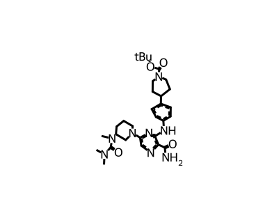 CN(C)C(=O)N(C)C1CCCN(c2cnc(C(N)=O)c(Nc3ccc(C4CCN(C(=O)OC(C)(C)C)CC4)cc3)n2)C1